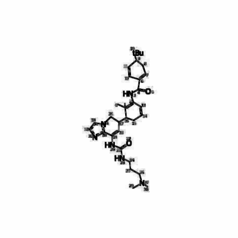 CC1=C(NC(=O)C2=CCC(C(C)(C)C)C=C2)C=CCC1C1C=C(NC(=O)NCCCN(C)C)c2nccn2C1